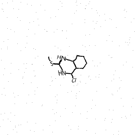 CSC1NC(Cl)C2CCCCC2N1